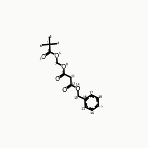 CC(C)(C)C(=O)OCOC(=O)CC(=O)OCc1ccccc1